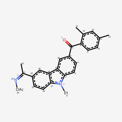 CCn1c2ccc(C(=O)c3ccc(C)cc3C)cc2c2cc(/C(C)=N\OC(C)=O)ccc21